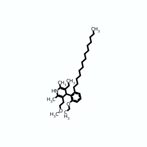 CCCCCCCCCCCCCCCc1cccc(OCC)c1C1C(CC)=C(C)NC(C)=C1CCOC